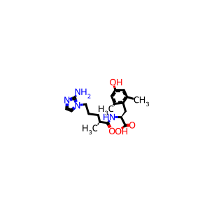 Cc1cc(O)cc(C)c1C[C@H](NC(=O)[C@H](C)CCCn1ccnc1N)C(=O)O